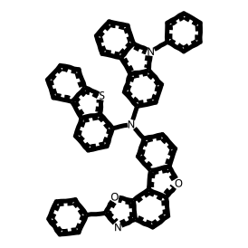 c1ccc(-c2nc3ccc4oc5ccc(N(c6ccc7c(c6)c6ccccc6n7-c6ccccc6)c6cccc7c6sc6ccccc67)cc5c4c3o2)cc1